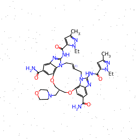 CCn1nc(C)cc1C(=O)Nc1nc2cc(C(N)=O)cc3c2n1C/C=C/Cn1c(NC(=O)c2cc(C)nn2CC)nc2cc(C(N)=O)cc(c21)OCC(CN1CCOCC1)CO3